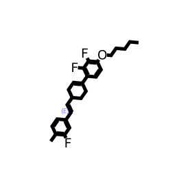 CCCCCOc1ccc(C2=CCC(/C=C/c3ccc(C)c(F)c3)CC2)c(F)c1F